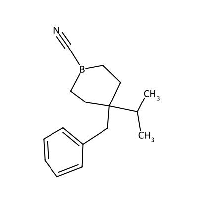 CC(C)C1(Cc2ccccc2)CCB(C#N)CC1